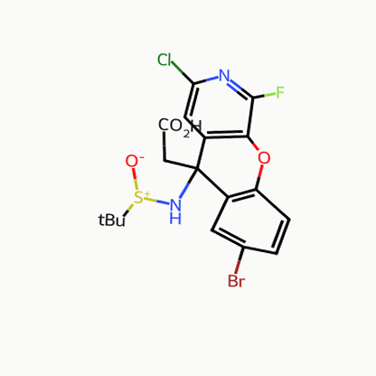 CC(C)(C)[S+]([O-])NC1(CC(=O)O)c2cc(Br)ccc2Oc2c1cc(Cl)nc2F